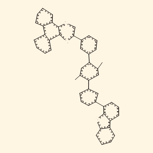 Cc1cc(-c2cccc(-c3cccc4c3oc3ccccc34)c2)c(C)cc1-c1cccc(-c2cnc3c4ccccc4c4ccccc4c3n2)c1